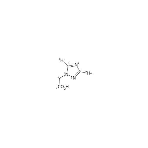 [2H]c1nc([2H])n(CC(=O)O)n1